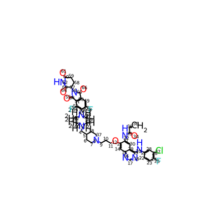 [2H]C1([2H])N(CC2CCN(CCCOc3cc4ncnc(Nc5ccc(F)c(Cl)c5)c4cc3NC(=O)C=C)CC2)C([2H])([2H])C([2H])([2H])N(c2c(F)cc3c(c2F)C(=O)N(C2CCC(=O)NC2=O)C3=O)C1([2H])[2H]